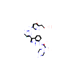 COC[C@H](C(=O)Nc1cccc2c(-c3nc(Nc4cnc(CCO)c(OC)c4)ncc3F)c[nH]c12)N1CCN(C)CC1